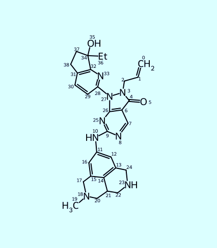 C=CCn1c(=O)c2cnc(Nc3cc4c5c(c3)CN(C)CC5CNC4)nc2n1-c1ccc2c(n1)C(O)(CC)CC2